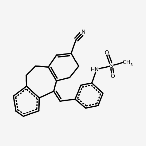 CS(=O)(=O)Nc1cccc(/C=C2\C3=C(C=C(C#N)CC3)CCc3ccccc32)c1